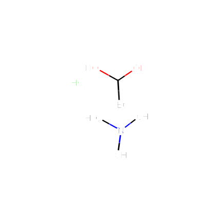 CCC(O)O.CN(C)C.Cl